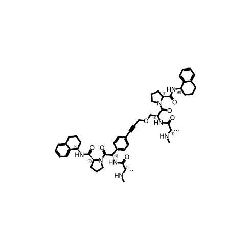 CN[C@@H](C)C(=O)N[C@@H](COCC#Cc1ccc([C@H](NC(=O)[C@H](C)NC)C(=O)N2CCC[C@H]2C(=O)N[C@@H]2CCCc3ccccc32)cc1)C(=O)N1CCC[C@H]1C(=O)N[C@@H]1CCCc2ccccc21